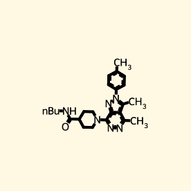 CCCCNC(=O)C1CCN(c2nnc(C)c3c(C)n(-c4ccc(C)cc4)nc23)CC1